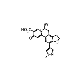 CC(C)C1Cc2c(cc(-c3cnn(C)c3)c3c2CCO3)-c2cc(=O)c(C(=O)O)cn21